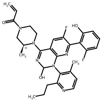 C=CC(=O)N1CCN(C2=NC(O)N(c3c(C)ccnc3CCC)c3nc(-c4c(O)cccc4F)c(F)cc32)[C@@H](C)C1